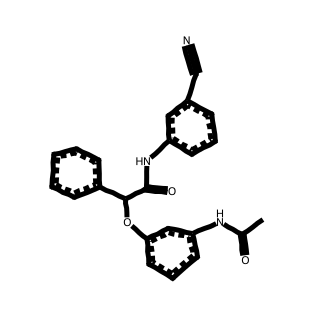 CC(=O)Nc1cccc(OC(C(=O)Nc2cccc(C#N)c2)c2ccccc2)c1